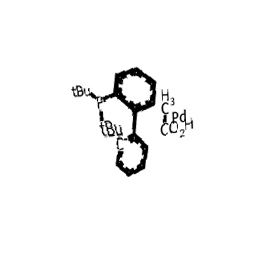 CC(=O)O.CC(C)(C)P(c1ccccc1-c1[c-]cccc1)C(C)(C)C.[Pd]